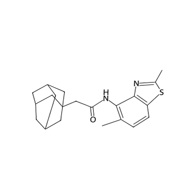 Cc1nc2c(NC(=O)CC34CC5CC(CC(C5)C3)C4)c(C)ccc2s1